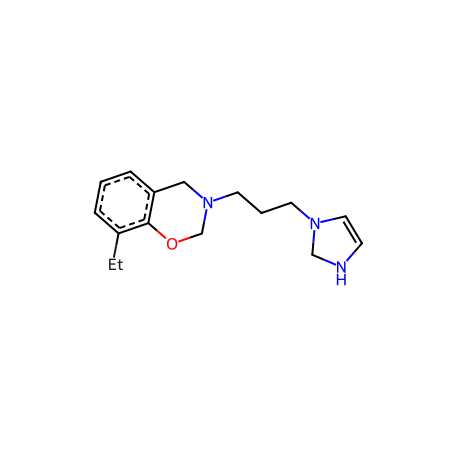 CCc1cccc2c1OCN(CCCN1C=CNC1)C2